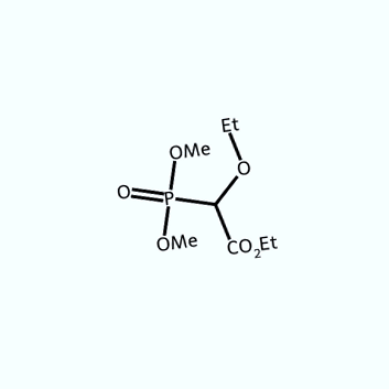 CCOC(=O)C(OCC)P(=O)(OC)OC